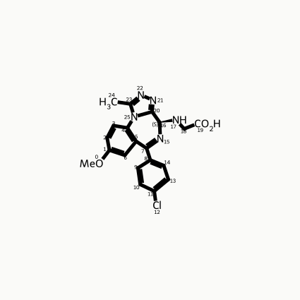 COc1ccc2c(c1)C(c1ccc(Cl)cc1)=N[C@H](NCC(=O)O)c1nnc(C)n1-2